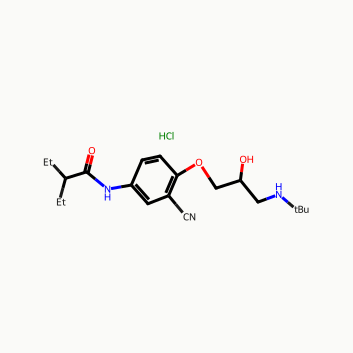 CCC(CC)C(=O)Nc1ccc(OCC(O)CNC(C)(C)C)c(C#N)c1.Cl